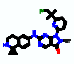 CC(C)n1c(=O)c2cnc(Nc3ccc4c(c3)CCNC43CC3)nc2n1-c1cccc(C(C)(C)CF)n1